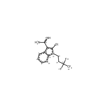 CCc1c(C(=N)N)c2cccnc2n1CCC(F)(F)C(F)(F)F